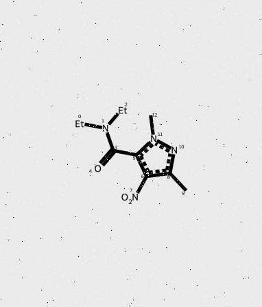 CCN(CC)C(=O)c1c([N+](=O)[O-])c(C)nn1C